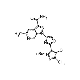 CCCCn1nc(C)c(O)c1-c1nc(-n2nc(C(N)=O)c3cc(C)ncc32)co1